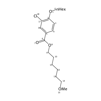 CCCCCCOc1ccc(C(=O)OCCCCCCOC)cc1Cl